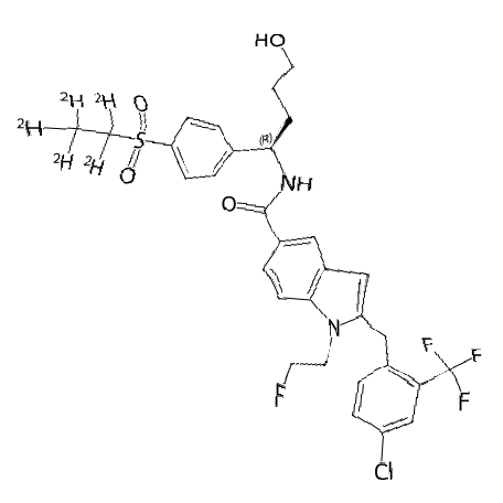 [2H]C([2H])([2H])C([2H])([2H])S(=O)(=O)c1ccc([C@@H](CCCO)NC(=O)c2ccc3c(c2)cc(Cc2ccc(Cl)cc2C(F)(F)F)n3CCF)cc1